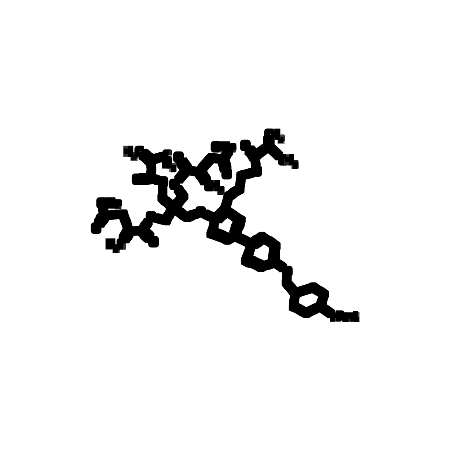 C=C(C)C(=O)OCCCc1cc(-c2ccc(OCC3CCC(CCCCC)CC3)cc2)ccc1OCC(COC(=O)C(=C)C)(COC(=O)C(=C)CC(=O)OC)COC(=O)C(=C)CC(=O)OC